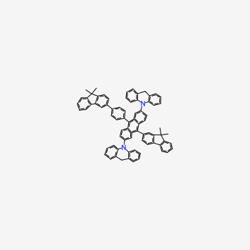 CC1(C)c2ccccc2-c2cc(-c3ccc(-c4c5ccc(N6c7ccccc7Cc7ccccc76)cc5c(-c5ccc6c(c5)C(C)(C)c5ccccc5-6)c5ccc(N6c7ccccc7Cc7ccccc76)cc45)cc3)ccc21